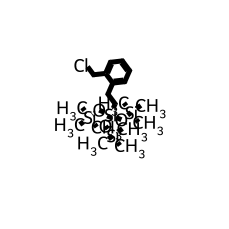 C[Si](C)(C)O[Si](CCc1ccccc1CCl)(O[Si](C)(C)C)O[Si](C)(C)C